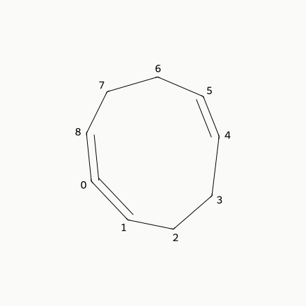 C1=CCCC=CCCC=1